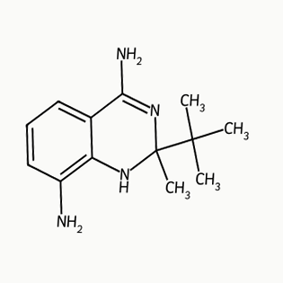 CC(C)(C)C1(C)N=C(N)c2cccc(N)c2N1